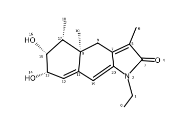 CCN1C(=O)C(C)=C2C[C@@]3(C)C(=C[C@H](O)[C@H](O)[C@@H]3C)C=C21